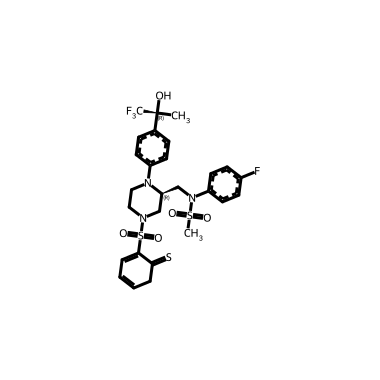 C[C@@](O)(c1ccc(N2CCN(S(=O)(=O)C3=CC=CCC3=S)C[C@@H]2CN(c2ccc(F)cc2)S(C)(=O)=O)cc1)C(F)(F)F